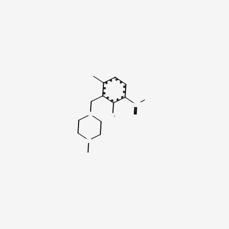 Cc1ccc([N+](=O)[O-])c(N)c1CN1CCN(C)CC1